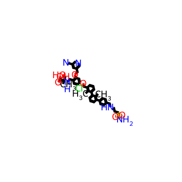 Cc1c(COc2cc(OCc3cncc(C#N)c3)c(CNC(C)(CO)C(=O)O)cc2Cl)cccc1-c1cccc(-c2ccc(CNCCCS(N)(=O)=O)cc2)c1C